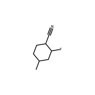 CC1CCC(C#N)C(F)C1